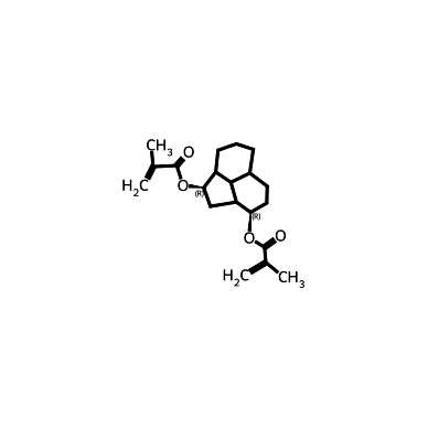 C=C(C)C(=O)O[C@@H]1CCC2CCCC3C2C1C[C@H]3OC(=O)C(=C)C